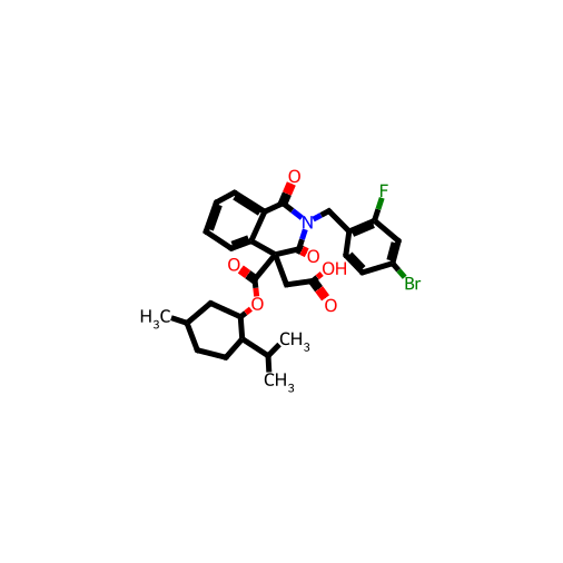 CC1CCC(C(C)C)C(OC(=O)C2(CC(=O)O)C(=O)N(Cc3ccc(Br)cc3F)C(=O)c3ccccc32)C1